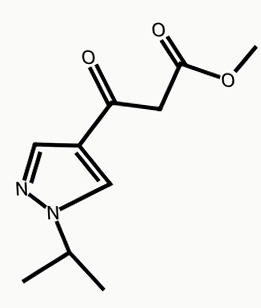 COC(=O)CC(=O)c1cnn(C(C)C)c1